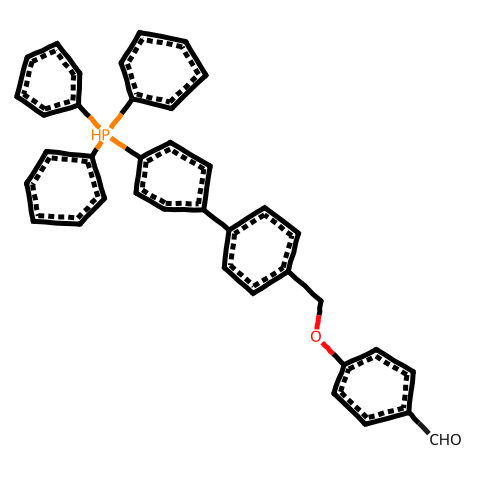 O=Cc1ccc(OCc2ccc(-c3ccc([PH](c4ccccc4)(c4ccccc4)c4ccccc4)cc3)cc2)cc1